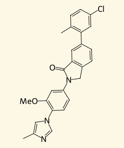 COc1cc(N2Cc3ccc(-c4cc(Cl)ccc4C)cc3C2=O)ccc1-n1cnc(C)c1